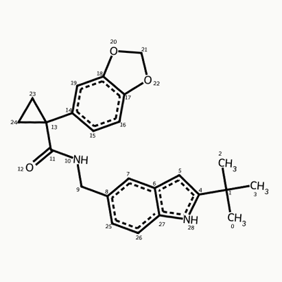 CC(C)(C)c1cc2cc(CNC(=O)C3(c4ccc5c(c4)OCO5)CC3)ccc2[nH]1